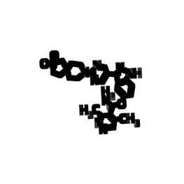 Cc1cnnc(C)c1[C@@H](N)Oc1ccc2[nH]nc(-c3cnc(N4CCC5(CC4)CCS(=O)(=O)C5)nc3)c2c1